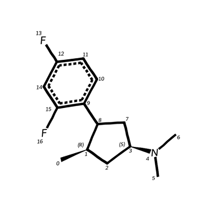 C[C@@H]1C[C@H](N(C)C)CC1c1ccc(F)cc1F